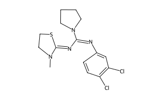 CN1CCS/C1=N\C(=N/c1ccc(Cl)c(Cl)c1)N1CCCC1